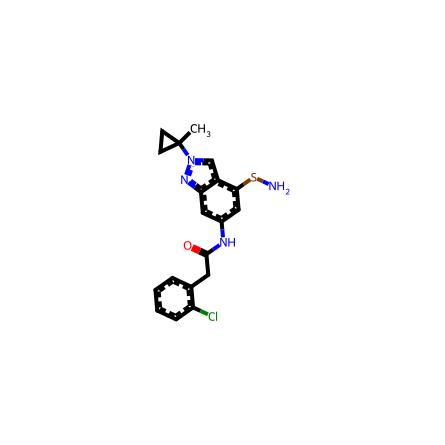 CC1(n2cc3c(SN)cc(NC(=O)Cc4ccccc4Cl)cc3n2)CC1